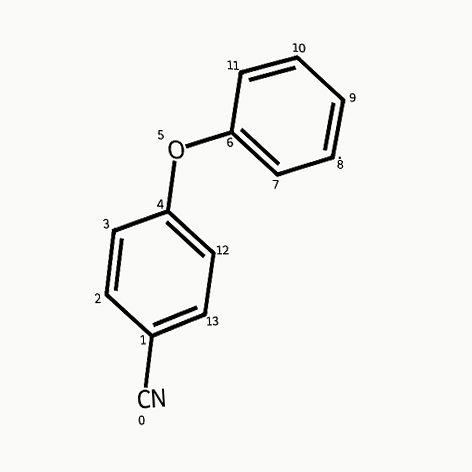 N#Cc1ccc(Oc2c[c]ccc2)cc1